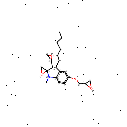 CCCCCCCc1cc(OCC2CO2)ccc1N(C)C1(CC2CO2)CO1